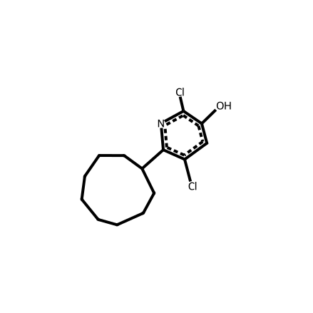 Oc1cc(Cl)c(C2CCCCCCCC2)nc1Cl